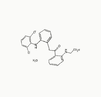 O.O=C(O)CNc1ccccc1C(=O)Cc1ccccc1Nc1c(Cl)cccc1Cl